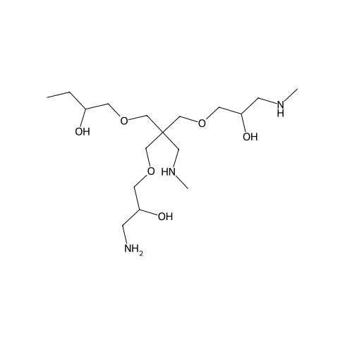 CCC(O)COCC(CNC)(COCC(O)CN)COCC(O)CNC